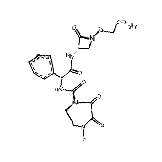 CCN1CCN(C(=O)NC(C(=O)N[C@H]2CN(OCC(=O)O)C2=O)c2ccccc2)C(=O)C1=O